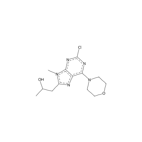 CC(O)Cc1nc2c(N3CCOCC3)nc(Cl)nc2n1C